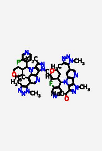 COC(=O)c1nn(C)c2c3ncc(-c4c(C)nnn4C)cc3n(C(c3ccncc3F)C3CCOCC3)c12.Cc1nnn(C)c1-c1cnc2c3c(c(C(=O)O)nn3C)n(C(c3ccncc3F)C3CCOCC3)c2c1C